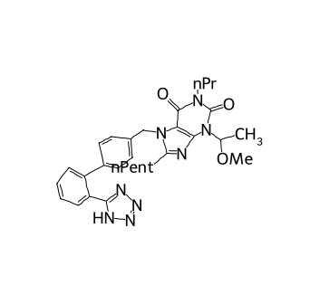 CCCCCc1nc2c(c(=O)n(CCC)c(=O)n2C(C)OC)n1Cc1ccc(-c2ccccc2-c2nnn[nH]2)cc1